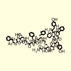 CCCC[C@@H](C(=O)N(C)CC(=O)N[C@@H](CO)C(O)N[C@@H](CC)C(=O)N(C)[C@@H](Cc1ccccc1)C(C)=O)N(C)C(=O)[C@H](Cc1ccccc1)N(C)C(=O)[C@H](Cc1ccccc1)NC(=O)CSC[C@H](NC(=O)[C@H](CC(C)C)NC(=O)[C@H](Cc1ccc(O)cc1)NC(=O)[C@H](Cc1c[nH]c2ccccc12)NC(=O)[C@H]1CCCCN1C(=O)[C@@H](N)Cc1ccc(O)cc1)C(=O)NCC(N)=O